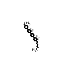 C=CC1CC=C(c2ccc(-c3ccc(-c4ccc(CCCCCC)c(F)c4F)cc3)c(F)c2F)CC1